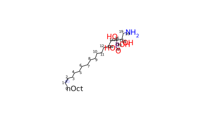 CCCCCCCC/C=C\CCCCCCCCCCCCC(O)(C(O)CN)P(=O)(O)O